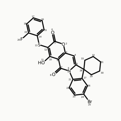 O=c1oc2cc3n(c(=O)c2c(O)c1Sc1ccccc1F)-c1ccc(Br)cc1C31CCCCC1